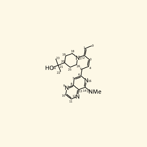 C/C=C(\C=C/Cc1cc2nccnc2c(NC)n1)N1CCC(C(C)(C)O)CC1